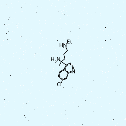 CCNCCCC(C)(N)c1ccnc2cc(Cl)ccc12